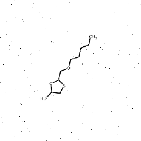 CCCCCOCC1OC(O)CS1